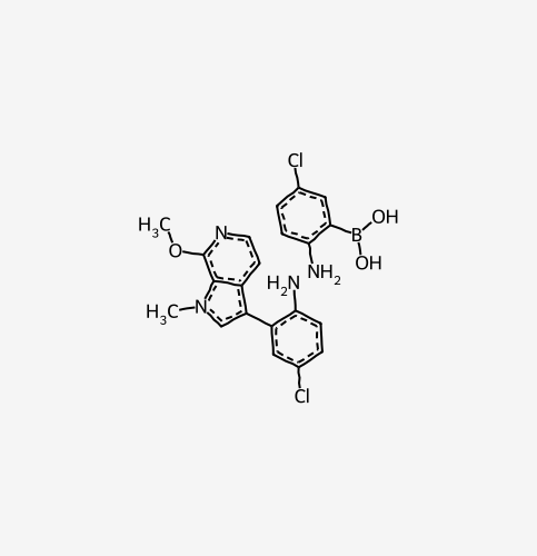 COc1nccc2c(-c3cc(Cl)ccc3N)cn(C)c12.Nc1ccc(Cl)cc1B(O)O